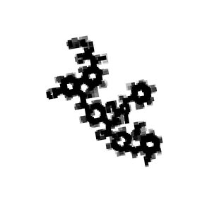 CCOc1cccc(F)c1CN1CCN(C(=O)[C@H](NC(=O)OCc2ccccc2)C2CCN(CCc3cc(Cl)ccc3-c3cc(NC(=O)OC(C)(C)C)ccc3Cl)CC2)CC1